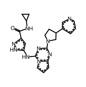 O=C(NC1CC1)c1cc(Nc2nc(N3CCC(c4cccnc4)C3)nc3cccn23)[nH]n1